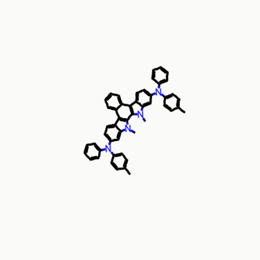 Cc1ccc(N(c2ccccc2)c2ccc3c4c5ccccc5c5c6ccc(N(c7ccccc7)c7ccc(C)cc7)cc6n(C)c5c4n(C)c3c2)cc1